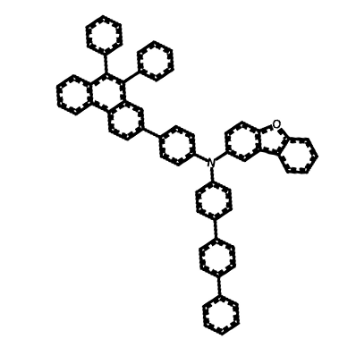 c1ccc(-c2ccc(-c3ccc(N(c4ccc(-c5ccc6c(c5)c(-c5ccccc5)c(-c5ccccc5)c5ccccc56)cc4)c4ccc5oc6ccccc6c5c4)cc3)cc2)cc1